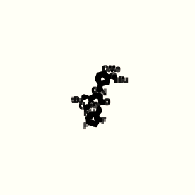 CCCCOc1cc(-c2nc(C(=O)NCc3ccc(F)cc3F)c([C@H](CC(C)(C)C)OC(N)=O)o2)ccc1OC